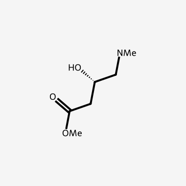 CNC[C@@H](O)CC(=O)OC